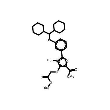 COC(=O)c1sc(-c2cccc(NC(C3CCCCC3)C3CCCCC3)c2)c(C)c1OCC(=O)OC(C)(C)C